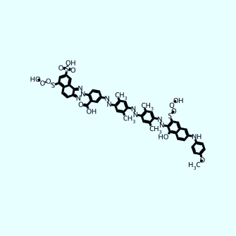 COc1ccc(Nc2ccc3c(O)c(N=Nc4cc(C)c(N=Nc5cc(C)c(N=Nc6ccc(-n7nc8ccc9c(SOOO)cc(S(=O)(=O)O)cc9c8n7)c(C(=O)O)c6)cc5C)cc4C)c(SOOO)cc3c2)cc1